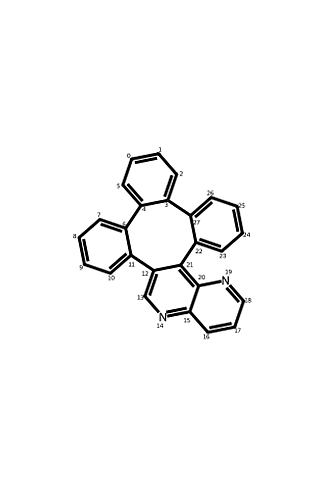 c1ccc2c(c1)-c1ccccc1-c1cnc3cccnc3c1-c1ccccc1-2